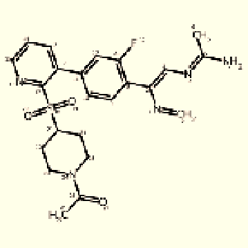 C=N/C(=C\N=C(/C)N)c1ccc(-c2cccnc2S(=O)(=O)C2CCN(C(C)=O)CC2)cc1F